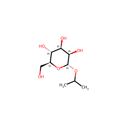 CC(C)O[C@@H]1O[C@@H](CO)[C@H](O)[C@@H](O)[C@H]1O